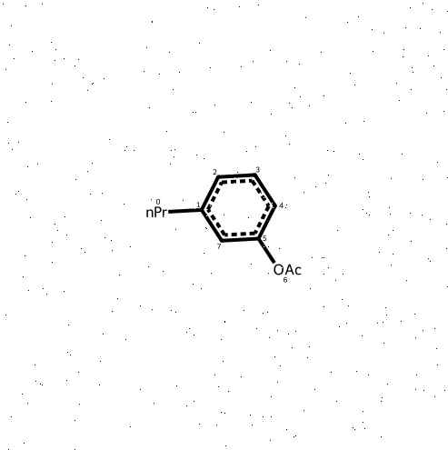 CCCc1cccc(OC(C)=O)c1